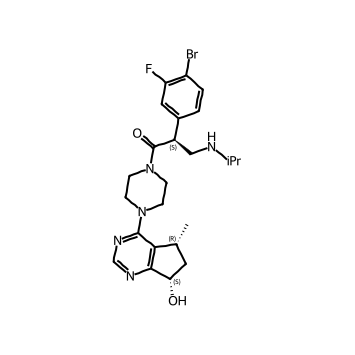 CC(C)NC[C@@H](C(=O)N1CCN(c2ncnc3c2[C@H](C)C[C@@H]3O)CC1)c1ccc(Br)c(F)c1